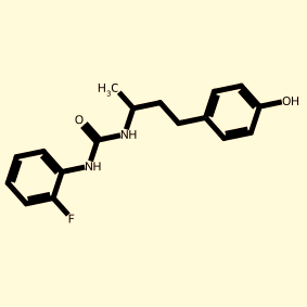 CC(CCc1ccc(O)cc1)NC(=O)Nc1ccccc1F